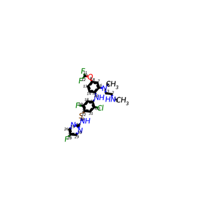 CNCCN(C)c1cc(OC(F)F)ccc1Nc1cc(F)c(SNc2ncc(F)cn2)cc1Cl